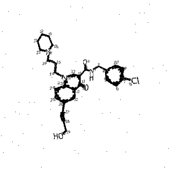 O=C(NCc1ccc(Cl)cc1)c1cn(CCCN2CCCCC2)c2ccc(C#CCO)cc2c1=O